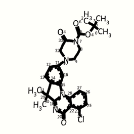 CC(C)(C)OC(=O)N1CCN(c2ccc3c(c2)-n2c(nc(=O)c4c(Cl)cccc42)C3(C)C)CC1=O